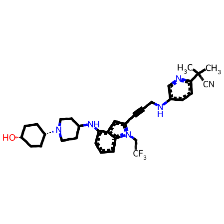 CC(C)(C#N)c1ccc(NCC#Cc2cc3c(NC4CCN([C@H]5CC[C@@H](O)CC5)CC4)cccc3n2CC(F)(F)F)cn1